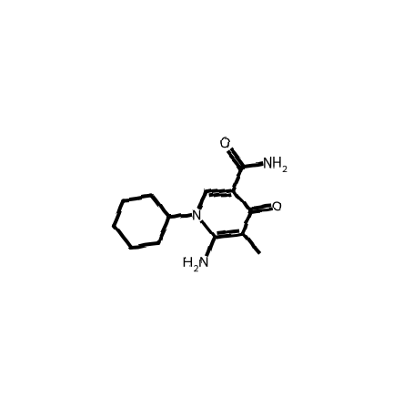 Cc1c(N)n(C2CCCCC2)cc(C(N)=O)c1=O